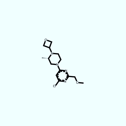 COCc1nc(Cl)cc(N2CCN(C3COC3)[C@@H](C)C2)n1